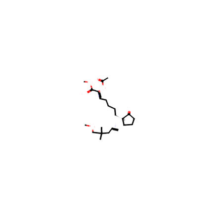 COCC(C)(C)C/C=C/[C@H]1CCC(=O)[C@@H]1CCCC/C=C(\OC(C)=O)C(=O)OC